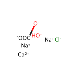 O=C([O-])[O-].[Ca+2].[Cl-].[Na+].[Na+].[OH-]